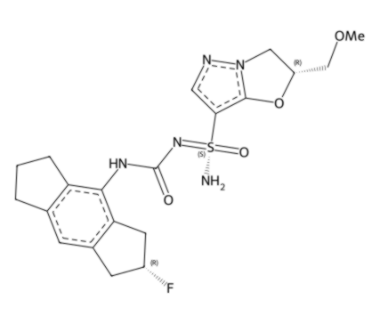 COC[C@H]1Cn2ncc([S@@](N)(=O)=NC(=O)Nc3c4c(cc5c3C[C@H](F)C5)CCC4)c2O1